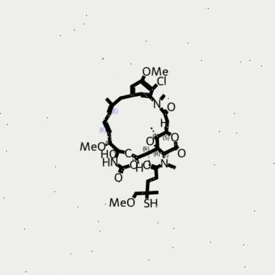 COCC(C)(S)CCC(=O)N(C)[C@H]1C(=O)O[C@H]2CC(=O)N(C)c3cc(cc(OC)c3Cl)C/C(C)=C/C=C/[C@@H](OC)[C@@]3(O)C[C@H](OC(=O)N3)[C@@H](C)[C@@]13O[C@@]23C